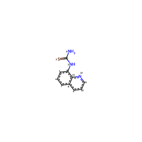 NC(=S)Nc1cccc2cccnc12